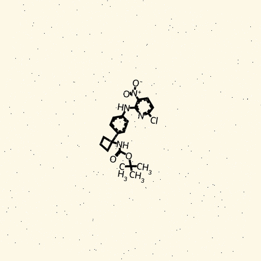 CC(C)(C)OC(=O)NC1(c2ccc(Nc3nc(Cl)ccc3[N+](=O)[O-])cc2)CCC1